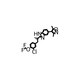 Cc1noc(C)c1-c1ccc2[nH]c([C@H](C)Cc3ccc(OC(F)F)c(Cl)c3)nc2c1